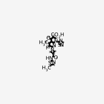 Cc1cnc(NC(=O)C2CN(c3nc4c(c(C)c3F)c(=O)c(C(=O)O)cn4-c3ncns3)C2)s1